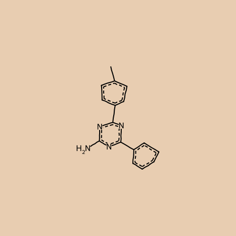 Cc1ccc(-c2nc(N)nc(-c3ccccc3)n2)cc1